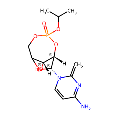 C=C1N=C(N)C=CN1[C@@H]1OC2COP(=O)(OC(C)C)O[C@H]1[C@@H]2O